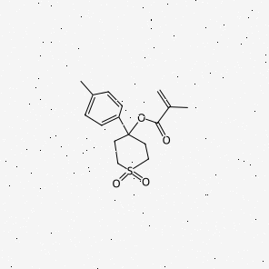 C=C(C)C(=O)OC1(c2ccc(C)cc2)CCS(=O)(=O)CC1